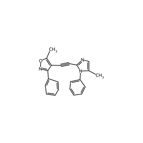 Cc1onc(-c2ccccc2)c1C#Cc1ncc(C)n1-c1ccccc1